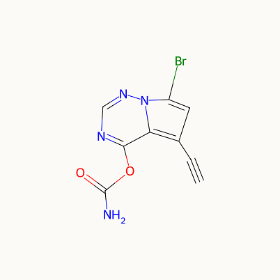 C#Cc1cc(Br)n2ncnc(OC(N)=O)c12